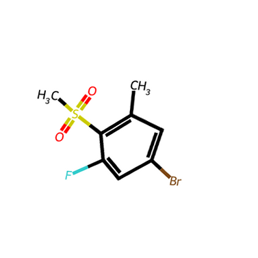 Cc1cc(Br)cc(F)c1S(C)(=O)=O